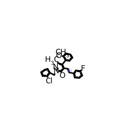 COc1ccccc1-c1c(C)nn(Cc2ccccc2Cl)c(=O)c1/C=C/c1cccc(F)c1